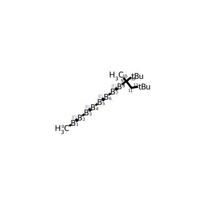 C/B=B/B=B/B=B/B=B/C(C)(CC(C)(C)C)C(C)(C)C